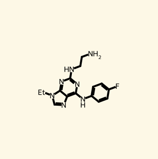 CCn1cnc2c(Nc3ccc(F)cc3)nc(NCCN)nc21